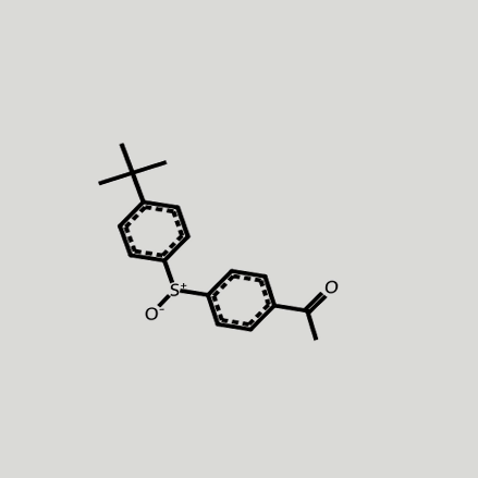 CC(=O)c1ccc([S+]([O-])c2ccc(C(C)(C)C)cc2)cc1